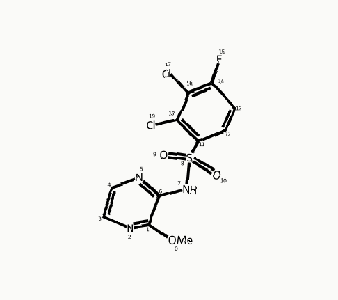 COc1nccnc1NS(=O)(=O)c1ccc(F)c(Cl)c1Cl